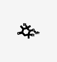 CCCON1C(C)(CC)CC(=O)C(C)C1(C)CC